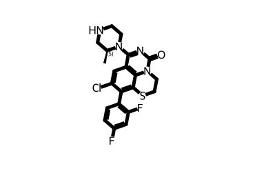 C[C@H]1CNCCN1c1nc(=O)n2c3c(c(-c4ccc(F)cc4F)c(Cl)cc13)SCC2